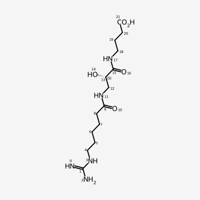 N=C(N)NCCCCCC(=O)NC[C@H](O)C(=O)NCCCC(=O)O